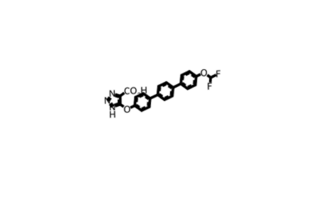 O=C(O)c1nn[nH]c1Oc1ccc(-c2ccc(-c3ccc(OC(F)F)cc3)cc2)cc1